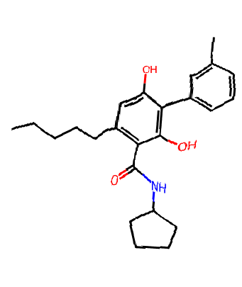 CCCCCc1cc(O)c(-c2cccc(C)c2)c(O)c1C(=O)NC1CCCC1